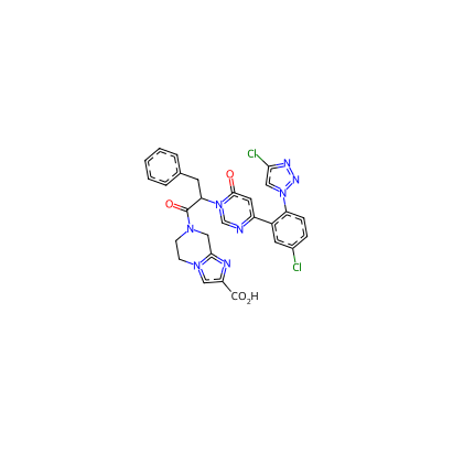 O=C(O)c1cn2c(n1)CN(C(=O)C(Cc1ccccc1)n1cnc(-c3cc(Cl)ccc3-n3cc(Cl)nn3)cc1=O)CC2